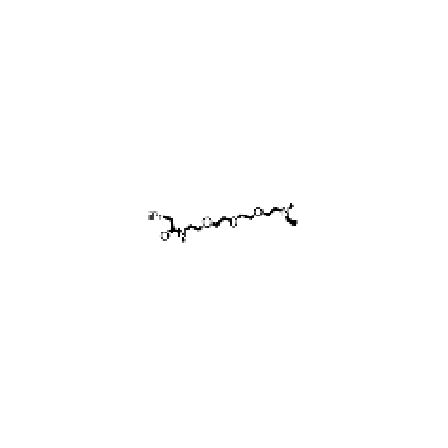 C=CN(C)CCOCCOCCOCCN(C)C(=O)CC(C)C